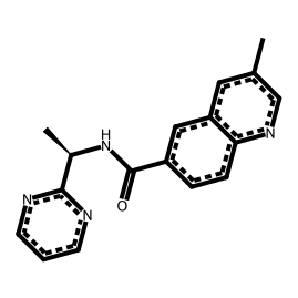 Cc1cnc2ccc(C(=O)N[C@H](C)c3ncccn3)cc2c1